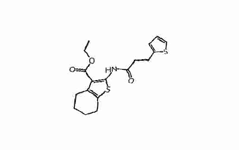 CCOC(=O)c1c(NC(=O)CCc2cccs2)sc2c1CCCC2